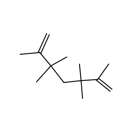 C=C(C)C(C)(C)CC(C)(C)C(=C)C